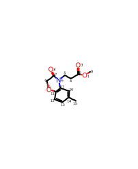 COC(=O)CCN1C(=O)COc2ccc(C)cc21